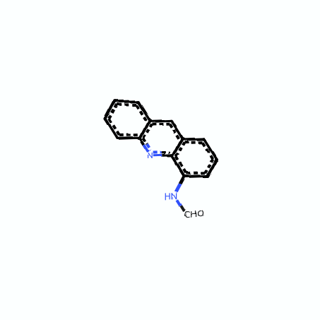 O=CNc1cccc2cc3ccccc3nc12